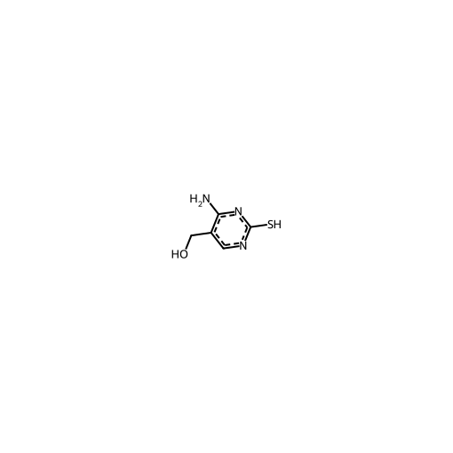 Nc1nc(S)ncc1CO